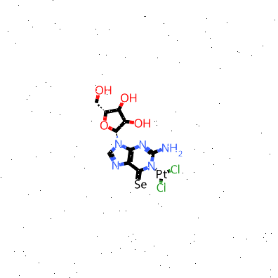 Nc1nc2c(ncn2[C@@H]2O[C@H](CO)C(O)C2O)c(=[Se])[n]1[Pt]([Cl])[Cl]